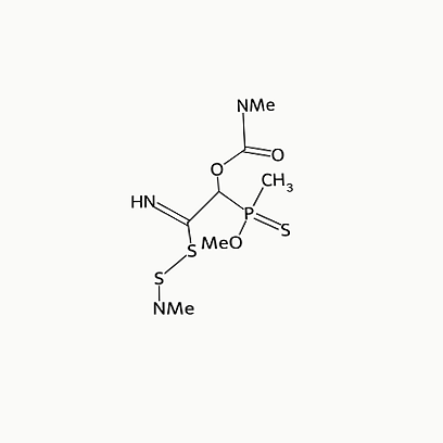 CNSSC(=N)C(OC(=O)NC)P(C)(=S)OC